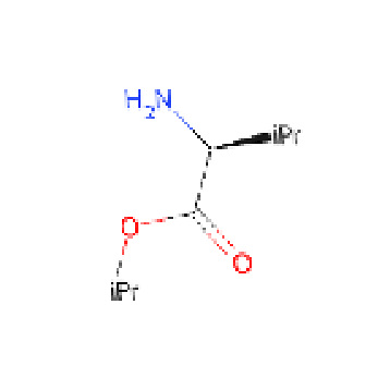 [CH2]C(C)OC(=O)[C@@H](N)C(C)C